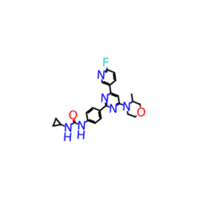 CC1COCCN1c1cc(-c2ccc(F)nc2)nc(-c2ccc(NC(=O)NC3CC3)cc2)n1